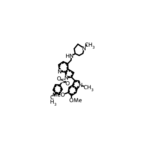 COc1cc2c(-c3cc4c(CNC5CCN(C)CC5)ccnc4n3S(=O)(=O)c3ccc(C)cc3)cn(C)c2cc1OC